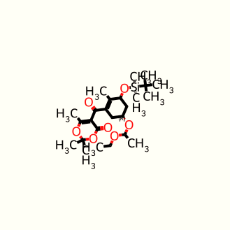 CCOC(C)O[C@@H]1CC(C(=O)C2=C(C)OC(C)(C)OC2=O)=C(C)C(O[Si](C)(C)C(C)(C)C)C1